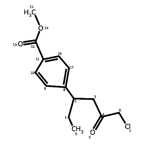 CCC(CC(=O)CCl)c1ccc(C(=O)OC)cc1